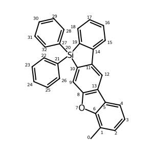 Cc1cccc2c1oc1cc3c(cc12)-c1ccccc1[Si]3(c1ccccc1)c1ccccc1